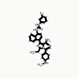 CCc1nc(-c2ccc(NC(=O)Nc3cccc(F)c3)c3ccccc23)c2c(N)ncc(C3=CCC(NC)CC3)n12